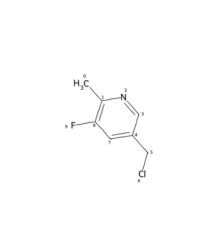 Cc1ncc(CCl)cc1F